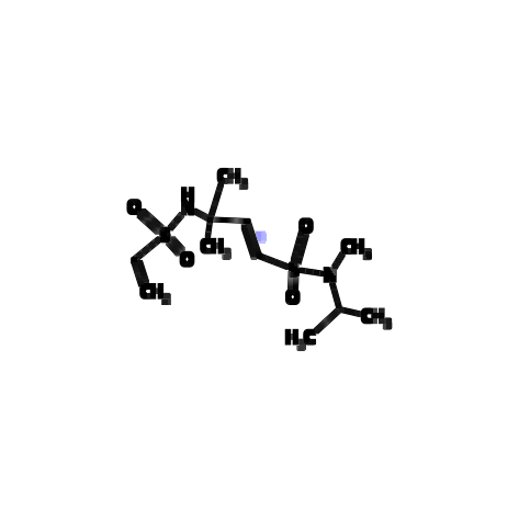 C=CS(=O)(=O)NC(C)(C)/C=C/S(=O)(=O)N(C)C(C)C